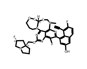 C#Cc1c(F)ccc2cc(O)cc(-c3nc4c5c(nc(OC[C@@]67CCCN6C[C@H](F)C7)nc5c3F)N3CCCOC[C@@H]3CCN4C)c12